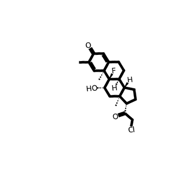 CC1=C[C@@]2(C)C(=CC1=O)CC[C@H]1[C@@H]3CC[C@H](C(=O)CCl)[C@@]3(C)C[C@H](O)[C@@]12F